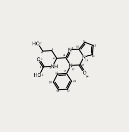 O=C(O)NC(CCO)c1nc2cccn2c(=O)n1-c1ccccc1